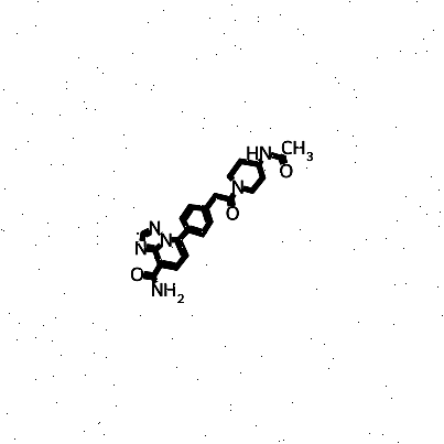 CC(=O)NC1CCN(C(=O)Cc2ccc(-c3ccc(C(N)=O)c4n[c]nn34)cc2)CC1